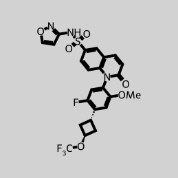 COc1cc([C@H]2C[C@H](OC(F)(F)F)C2)c(F)cc1-n1c(=O)ccc2cc(S(=O)(=O)Nc3ccon3)ccc21